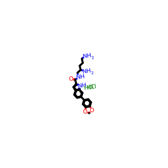 Cl.Cl.NCCCC(N)CNC(=O)c1cc2ccc(-c3ccc4c(c3)OCO4)cc2[nH]1